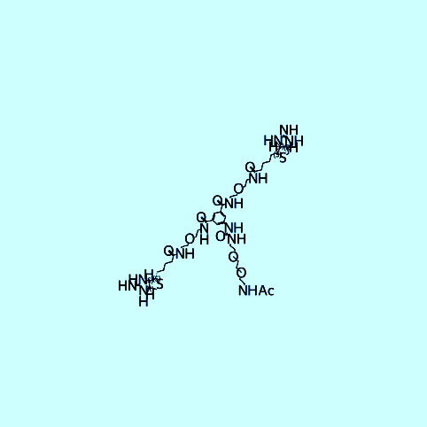 CC(=O)NCCOCCOCCNC(=O)Nc1cc(C(=O)NCCOCCNC(=O)CCCC[C@@H]2SC[C@@H]3NC(=N)N[C@@H]32)cc(C(=O)NCCOCCNC(=O)CCCC[C@@H]2SC[C@@H]3NC(=N)N[C@@H]32)c1